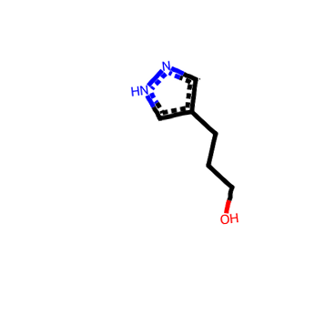 OCCCc1[c]n[nH]c1